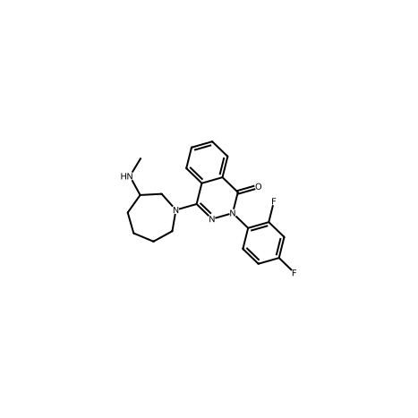 CNC1CCCCN(c2nn(-c3ccc(F)cc3F)c(=O)c3ccccc23)C1